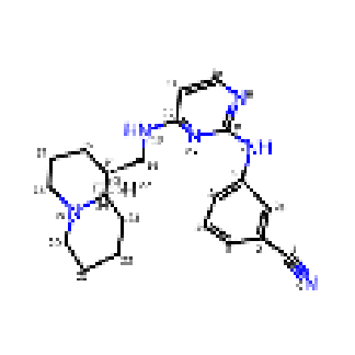 N#Cc1cccc(Nc2nccc(NC[C@@H]3CCCN4CCCC[C@H]34)n2)c1